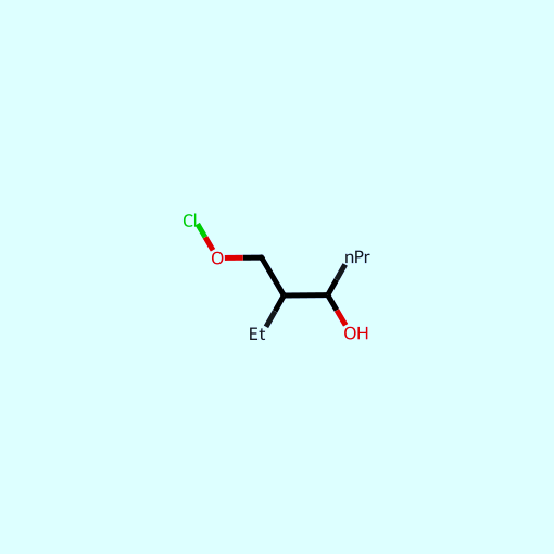 CCCC(O)C(CC)COCl